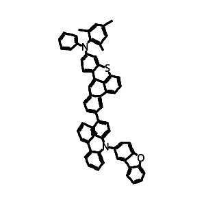 Cc1cc(C)c(N(c2ccccc2)c2ccc3c(c2)Sc2cccc4c2c-3cc2ccc(-c3ccc(N(c5ccc6oc7ccccc7c6c5)c5ccccc5-c5ccccc5)cc3)cc24)c(C)c1